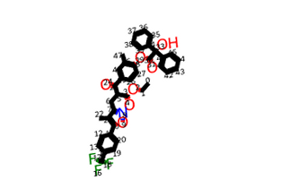 CCOC(=O)C(Cc1noc(-c2ccc(C(F)(F)F)cc2)c1C)C(=O)c1ccc(OC(=O)C(O)(c2ccccc2)c2ccccc2)c(C)c1